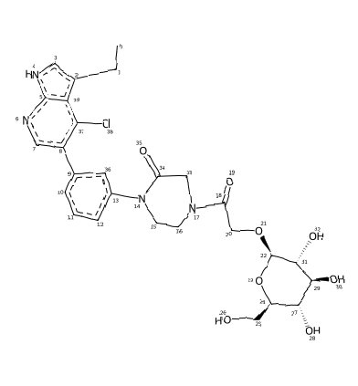 CCc1c[nH]c2ncc(-c3cccc(N4CCN(C(=O)CO[C@@H]5O[C@H](CO)[C@@H](O)[C@H](O)[C@H]5O)CC4=O)c3)c(Cl)c12